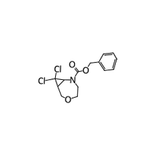 O=C(OCc1ccccc1)N1CCOCC2C1C2(Cl)Cl